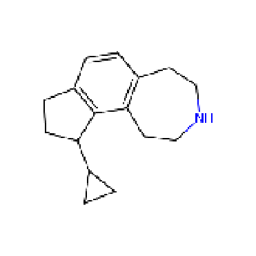 c1cc2c(c3c1CCNCC3)C(C1CC1)CC2